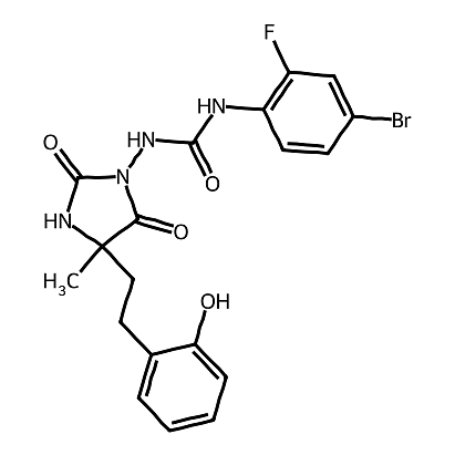 CC1(CCc2ccccc2O)NC(=O)N(NC(=O)Nc2ccc(Br)cc2F)C1=O